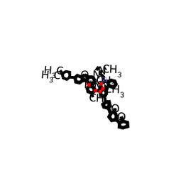 Cc1ccccc1-c1cc(-c2ccc3c(c2)oc2c3ccc3c4ccccc4oc32)cc(-c2ccccc2/C2=C/C3N(C)C=CN3c3c(C)c(cc4c3oc3cc(C5CCC(C)(C)CC5)ccc34)N3C=CN(C)C23)[n+]1C